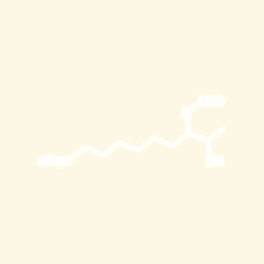 CCCCCCCCCCCCCC(O[C]=O)C(C)O